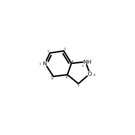 [C]1N=CC=C2NOCC12